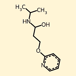 CC(C)NC(O)CCOc1ccccn1